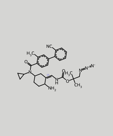 Cc1cc(-c2ccccc2C#N)ccc1C(=O)N(C1CC1)C1CCC(N)/C(=C\NC(=O)OC(C)(C)CN=[N+]=[N-])C1